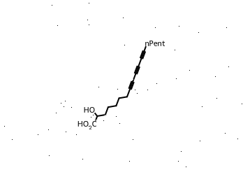 CCCCCC#CC#CC#CCCCCCC(O)C(=O)O